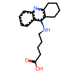 O=C(O)CCCCNc1c2c(nc3ccccc13)CCCC2